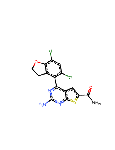 CNC(=O)c1cc2c(-c3c(Cl)cc(Cl)c4c3CCO4)nc(N)nc2s1